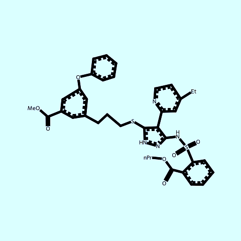 CCCOC(=O)c1ccccc1S(=O)(=O)Nc1n[nH]c(SCCCc2cc(Oc3ccccc3)cc(C(=O)OC)c2)c1-c1cc(CC)ccn1